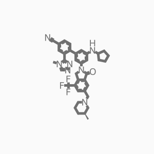 C[C@H]1CCCN(Cc2cc3c(c(C(F)(F)F)c2)CN(c2cc(NC4CCCC4)cc(-c4ccc(C#N)cc4-c4nncn4C)c2)C3=O)C1